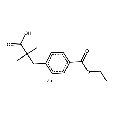 CCOC(=O)c1ccc(CC(C)(C)C(=O)O)cc1.[Zn]